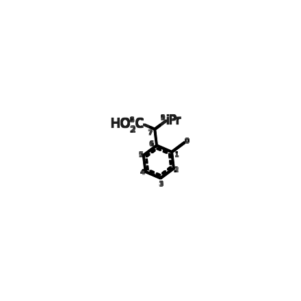 Cc1ccccc1C(C(=O)O)C(C)C